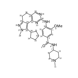 COc1cc(C(=O)NC2CCN(C)CC2)ccc1Nc1ncc2c(n1)-c1c(nn(C)c1C1CCCC1)CC2